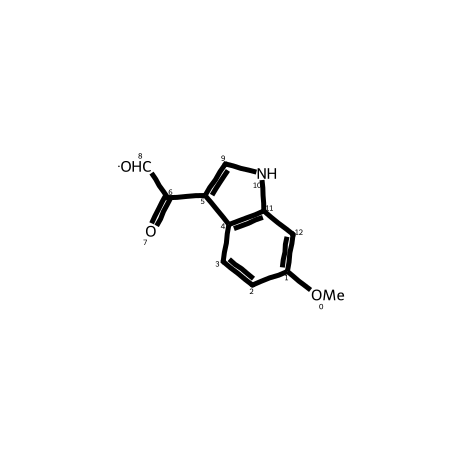 COc1ccc2c(C(=O)[C]=O)c[nH]c2c1